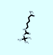 CC(C)(C)OC(=O)NCCCC[C@H](N)F